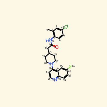 Cc1cc(Cl)ccc1NC(=O)CC1CCN(c2ccnc3ccc(F)cc23)CC1